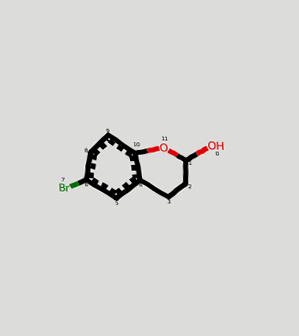 OC1CCc2cc(Br)ccc2O1